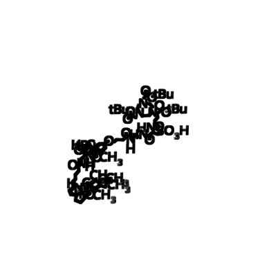 Cc1cc(OCCCC(=O)NCCNC(=O)C(CS(=O)(=O)O)NC(=O)CCC(C(=O)OC(C)(C)C)N2CCN(CC(=O)OC(C)(C)C)CCN(CC(=O)OC(C)(C)C)CC2)cc(C)c1S(=O)(=O)NC(CNC(=O)CCCCc1ccc2c(n1)N(S(=O)(=O)c1c(C)c(C)c3c(c1C)CC(C)(C)O3)CCC2)C(=O)OC(C)(C)C